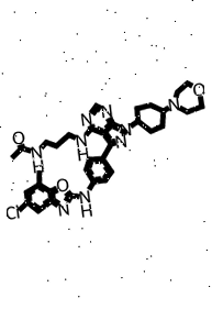 CC(=O)NCCCNc1ncnc2c1c(-c1ccc(Nc3nc4cc(Cl)cc(C)c4o3)cc1)nn2C1CCC(N2CCOCC2)CC1